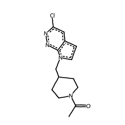 CC(=O)N1CCC(Cn2ccc3cc(Cl)nnc32)CC1